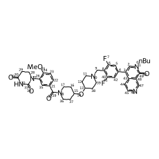 CCCCn1cc(-c2cc(F)c(CN3CCC(OC4CCN(C(=O)c5ccc(OC)c(N6CCC(=O)NC6=O)c5)CC4)CC3)c(F)c2)c2ccncc2c1=O